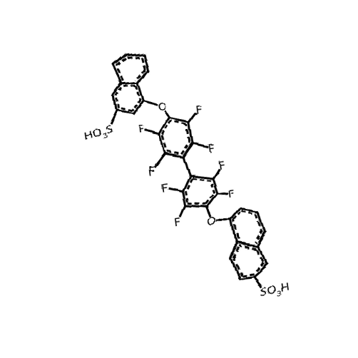 O=S(=O)(O)c1ccc2c(Oc3c(F)c(F)c(-c4c(F)c(F)c(Oc5cc(S(=O)(=O)O)cc6ccccc56)c(F)c4F)c(F)c3F)cccc2c1